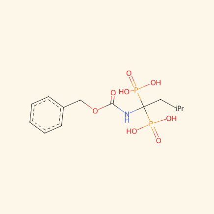 CC(C)CC(NC(=O)OCc1ccccc1)(P(=O)(O)O)P(=O)(O)O